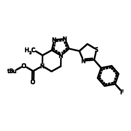 CC1c2nnc(C3CSC(c4ccc(F)cc4)=N3)n2CCN1C(=O)OC(C)(C)C